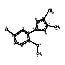 COc1ccc(Cl)cc1-n1nc(C)c(C)n1